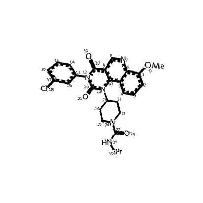 COc1cccc2c1ncc1c(=O)n(-c3cccc(Cl)c3)c(=O)n(C3CCN(C(=O)NC(C)C)CC3)c12